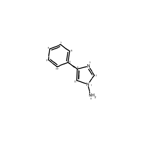 Nn1cnc(-c2ccccc2)c1